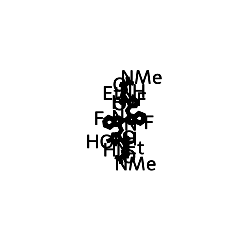 CCC(NC(=O)C(C)NC)C(=O)N1CC(O)CC1Cc1c(-c2[nH]c3cc(F)ccc3c2CC2CC(F)CN2C(=O)C(CC)NC(=O)C(C)NC)[nH]c2cc(F)ccc12